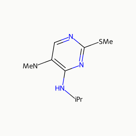 CNc1cnc(SC)nc1NC(C)C